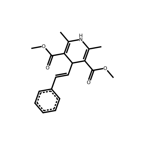 COC(=O)C1=C(C)NC(C)=C(C(=O)OC)C1C=Cc1ccccc1